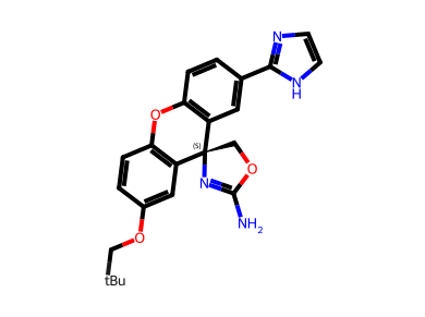 CC(C)(C)COc1ccc2c(c1)[C@]1(COC(N)=N1)c1cc(-c3ncc[nH]3)ccc1O2